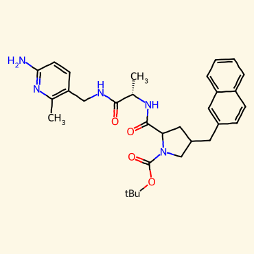 Cc1nc(N)ccc1CNC(=O)[C@H](C)NC(=O)C1CC(Cc2ccc3ccccc3c2)CN1C(=O)OC(C)(C)C